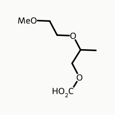 COCCOC(C)COC(=O)O